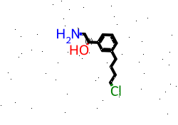 NC[C@H](O)c1cccc(CCCCCl)c1